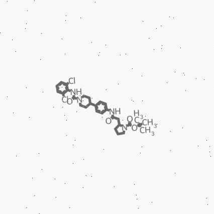 CC(C)(C)OC(=O)N1CCCC1CC(=O)Nc1ccc(C2CCN(C(=O)Nc3c(Cl)cccc3Cl)CC2)cc1